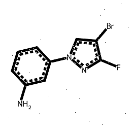 Nc1cccc(-n2cc(Br)c(F)n2)c1